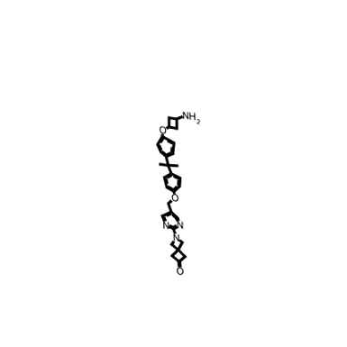 CC(C)(c1ccc(OCc2cnc(N3CC4(CC(=O)C4)C3)nc2)cc1)c1ccc(OC2CC(N)C2)cc1